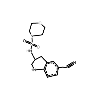 N#Cc1ccc2c(c1)CC(NS(=O)(=O)N1CCOCC1)CN2